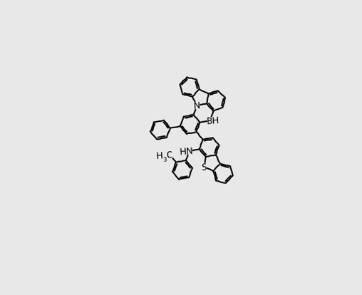 Cc1ccccc1Nc1c(-c2cc(-c3ccccc3)cc3c2Bc2cccc4c5ccccc5n-3c24)ccc2c1sc1ccccc12